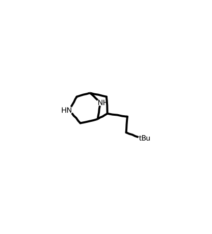 CC(C)(C)CCC1CC2CNCC1N2